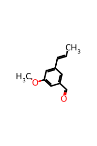 CC=Cc1cc(C=O)cc(OC)c1